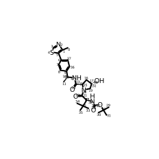 Cc1ncsc1-c1ccc([C@H](C)NC(=O)[C@H]2C[C@H](O)CN2C(=O)[C@@H](NC(=O)OC(C)(C)C)C(C)(C)C)cc1